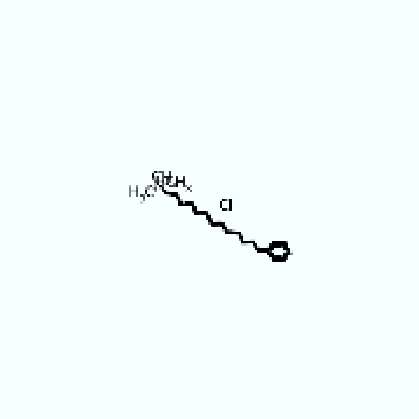 C[N+](C)(C)CCCCCCCCCCCCCc1ccccc1.[Cl-]